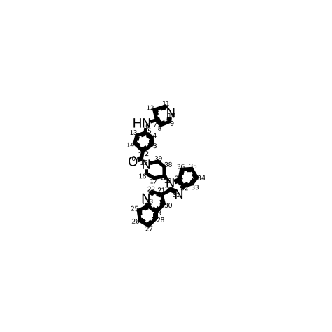 O=C(c1ccc(Nc2ccncc2)cc1)N1CCC(n2c(-c3cnc4ccccc4c3)nc3ccccc32)CC1